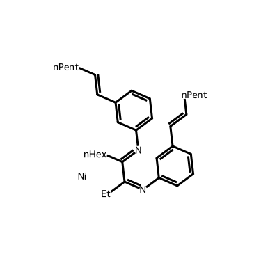 CCCCCC=Cc1cccc(N=C(CC)C(CCCCCC)=Nc2cccc(C=CCCCCC)c2)c1.[Ni]